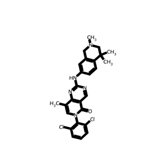 Cc1cn(-c2c(Cl)cccc2Cl)c(=O)c2cnc(Nc3ccc4c(c3)CN(C)CC4(C)C)nc12